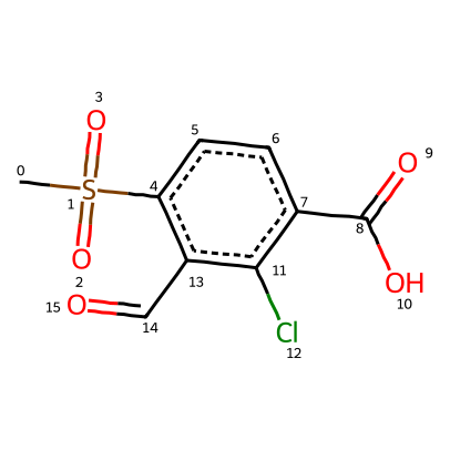 CS(=O)(=O)c1ccc(C(=O)O)c(Cl)c1C=O